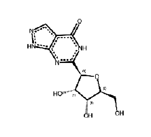 O=c1[nH]c([C@H]2O[C@@H](CO)[C@H](O)[C@@H]2O)nc2[nH]ncc12